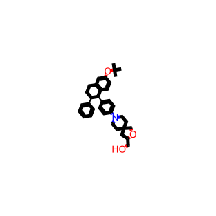 CC(C)(C)Oc1ccc2c(c1)CC[C@H](c1ccccc1)[C@@H]2c1ccc(N2CCC3(CC2)COC(CO)C3)cc1